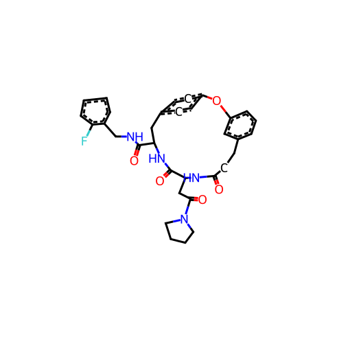 O=C1CCc2cccc(c2)Oc2ccc(cc2)CC(C(=O)NCc2ccccc2F)NC(=O)C(CC(=O)N2CCCC2)N1